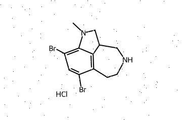 CN1CC2CNCCc3c(Br)cc(Br)c1c32.Cl